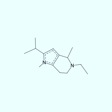 CCN1CCc2c(cc(C(C)C)n2C)C1C